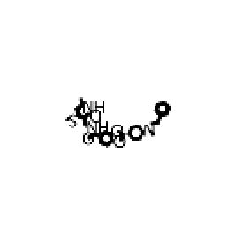 CSc1cc(C)[nH]c(=O)c1CNC(=O)c1ccc2c(c1)OC([C@H]1CC[C@H](N(C)CCc3ccccc3)CC1)O2